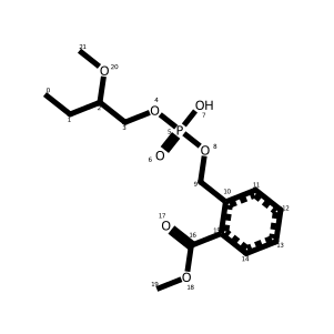 CCC(COP(=O)(O)OCc1ccccc1C(=O)OC)OC